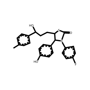 Cc1ccc(C(O)CCC2SC(=O)N(c3ccc(F)cc3)C2c2ccc(O)cc2)cc1